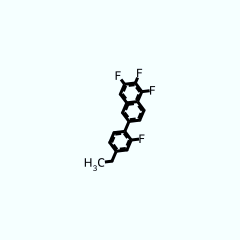 CCc1ccc(-c2ccc3c(F)c(F)c(F)cc3c2)c(F)c1